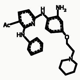 CC(=O)c1ccc(Nc2ccc(OCCN3CCCCC3)cc2N)nc1Nc1ccccc1